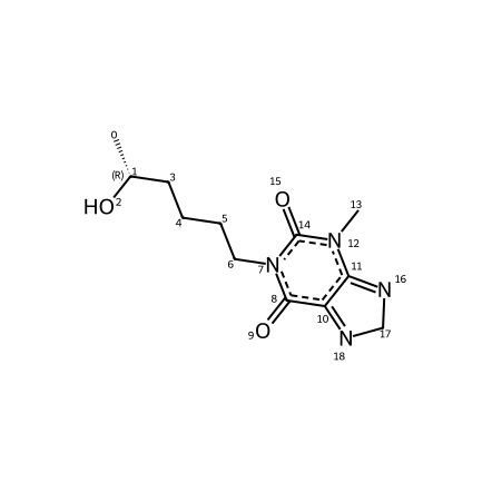 C[C@@H](O)CCCCn1c(=O)c2c(n(C)c1=O)=NCN=2